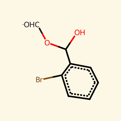 O=[C]OC(O)c1ccccc1Br